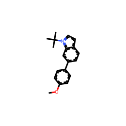 COc1ccc(-c2ccc3ccn(C(C)(C)C)c3c2)cc1